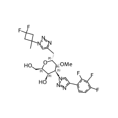 CO[C@@H]1[C@@H](n2cc(-c3ccc(F)c(F)c3F)nn2)[C@@H](O)[C@@H](CO)O[C@@H]1Cc1cn(C2(C)CC(F)(F)C2)nn1